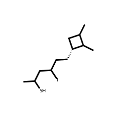 CC(S)CC(I)CC[C@@H]1CC(C)C1C